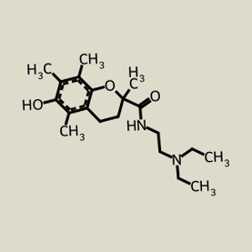 CCN(CC)CCNC(=O)C1(C)CCc2c(C)c(O)c(C)c(C)c2O1